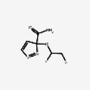 NC(=O)C1(OC(F)CF)C=CN=N1